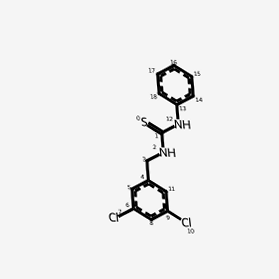 S=C(NCc1cc(Cl)cc(Cl)c1)Nc1ccccc1